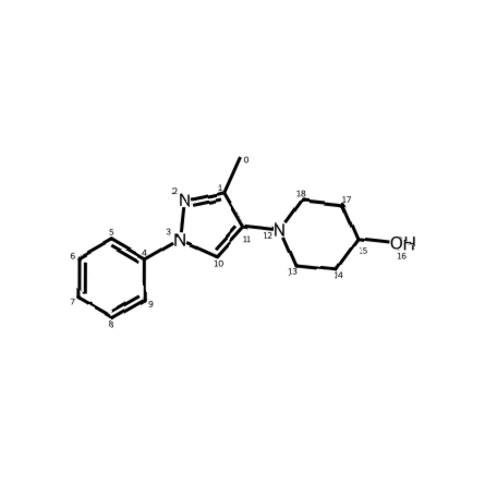 Cc1nn(-c2ccccc2)cc1N1CCC(O)CC1